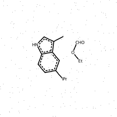 CCOC=O.Cc1c[nH]c2ccc(C(C)C)cc12